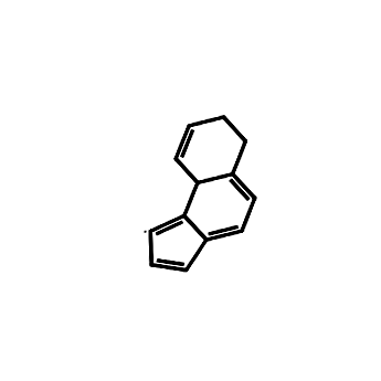 [C]1=C2C(=CC=C3CCC=CC23)C=C1